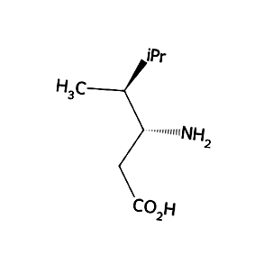 CC(C)[C@H](C)[C@H](N)CC(=O)O